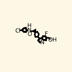 O=C(Nc1ccc(Cl)cc1)C1CC12CCC(c1ccnc3cc(CO)c(F)cc13)CC2